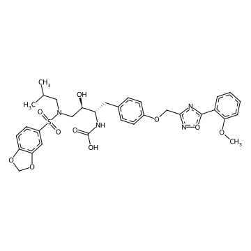 COc1ccccc1-c1nc(COc2ccc(C[C@H](NC(=O)O)[C@H](O)CN(CC(C)C)S(=O)(=O)c3ccc4c(c3)OCO4)cc2)no1